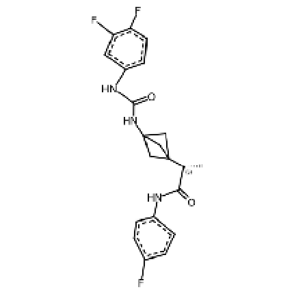 C[C@H](C(=O)Nc1ccc(F)cc1)C12CC(NC(=O)Nc3ccc(F)c(F)c3)(C1)C2